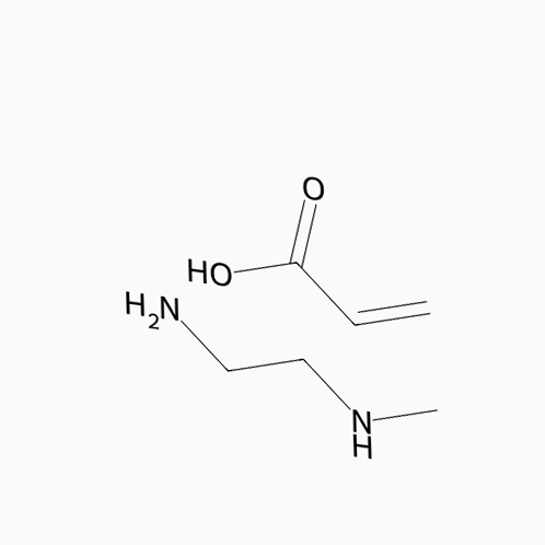 C=CC(=O)O.CNCCN